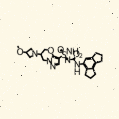 COC1CN(C2COc3c(S(N)(=O)=NC(=O)Nc4cc5c(c6c4CCC6)CCC5)cnn3C2)C1